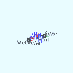 CCCC(C)C(NC(N)=NC(=O)Cc1ccc(OC)c(OC)c1)C(=O)NCc1ccc(F)c(OC)c1